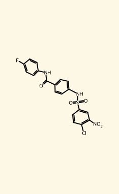 O=C(Nc1ccc(F)cc1)c1ccc(NS(=O)(=O)c2ccc(Cl)c([N+](=O)[O-])c2)cc1